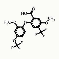 COc1cc(OC(F)(F)F)ccc1Oc1cc(C(F)(F)F)c(OC)cc1C(=O)O